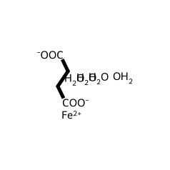 O.O.O.O.O=C([O-])CCC(=O)[O-].[Fe+2]